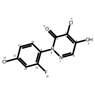 O=c1c(Cl)c(O)cnn1-c1ccc(Cl)cc1F